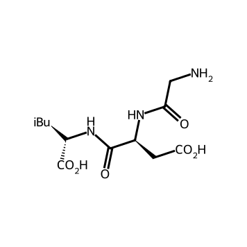 CC[C@H](C)[C@H](NC(=O)[C@H](CC(=O)O)NC(=O)CN)C(=O)O